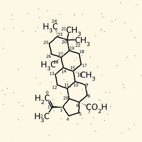 C=C(C)[C@@H]1CC[C@]2(C(=O)O)CCC3C(CCC4[C@@]3(C)CCC3C(C)(C)[C@@H](C)CC[C@@]34C)C12